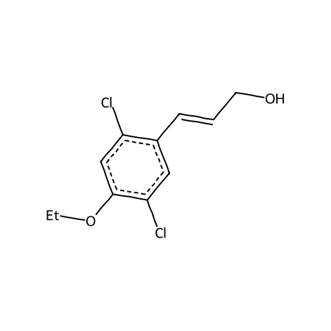 CCOc1cc(Cl)c(/C=C/CO)cc1Cl